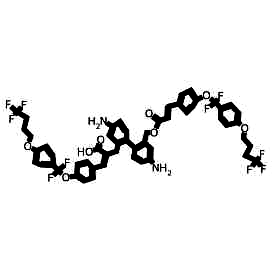 Nc1ccc(-c2ccc(N)cc2CC(=Cc2ccc(OC(F)(F)c3ccc(OCCCC(F)(F)F)cc3)cc2)C(=O)O)c(COC(=O)C=Cc2ccc(OC(F)(F)c3ccc(OCCCC(F)(F)F)cc3)cc2)c1